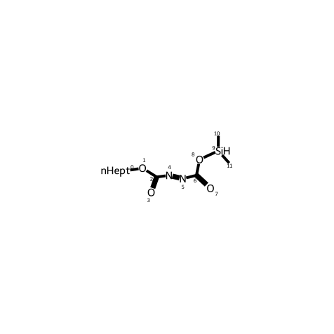 CCCCCCCOC(=O)N=NC(=O)O[SiH](C)C